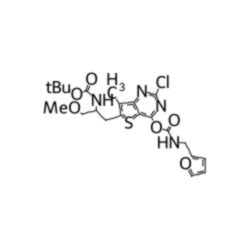 COCC(Cc1sc2c(OC(=O)NCc3ccco3)nc(Cl)nc2c1C)NC(=O)OC(C)(C)C